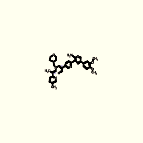 COc1ccc(-c2cnc(N)c(-c3ccc(/C(C=O)=C/N(/C=C(\C)c4ccc(C)cn4)CC4CCOCC4)cn3)c2)cc1OC